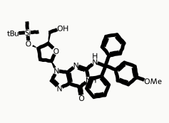 COc1ccc(C(Nc2nc3c(ncn3[C@H]3C[C@H](O[Si](C)(C)C(C)(C)C)[C@@H](CO)O3)c(=O)[nH]2)(c2ccccc2)c2ccccc2)cc1